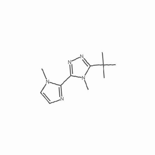 Cn1ccnc1-c1nnc(C(C)(C)C)n1C